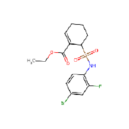 CCOC(=O)C1=CCCCC1S(=O)(=O)Nc1ccc(Br)cc1F